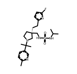 Cc1ccc(C(C)(C)N2CC[C@@](CCc3ccc(F)s3)(CNS(=O)(=O)NC(C)C)C2)cn1